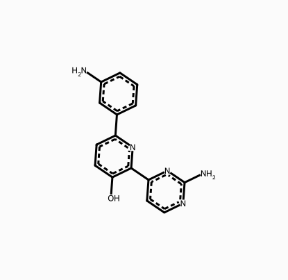 Nc1cccc(-c2ccc(O)c(-c3ccnc(N)n3)n2)c1